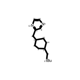 CC(C)(C)CC1CCC(Cc2cnccn2)CC1